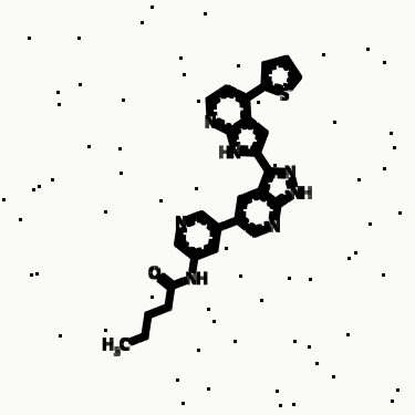 CCCCC(=O)Nc1cncc(-c2cnc3[nH]nc(-c4cc5c(-c6cccs6)ccnc5[nH]4)c3c2)c1